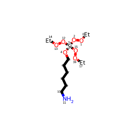 CCOO[Si](OCCCCCCN)(OOCC)OOCC